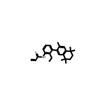 C=CC(=O)Nc1cccc(-c2cc3c(cc2C)C(C)(C)CCC3(C)C)c1CC